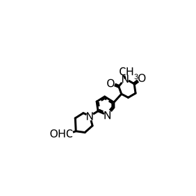 CN1C(=O)CCC(c2ccc(N3CCC(C=O)CC3)nc2)C1=O